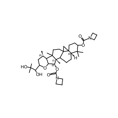 C[C@@H]1CC(C(O)C(C)(C)O)OC2C1C1(C)CCC34CC35CCC(OC(=O)N3CCC3)C(C)(C)[C@@H]5CCC4[C@]1(C)[C@H]2OC(=O)N1CCC1